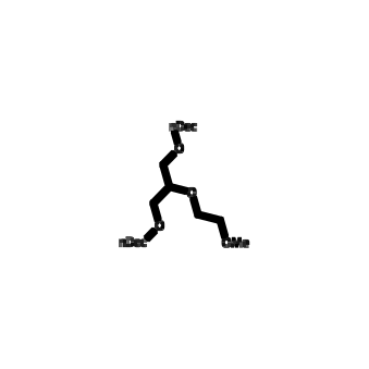 CCCCCCCCCCOCC(COCCCCCCCCCC)OCCOC